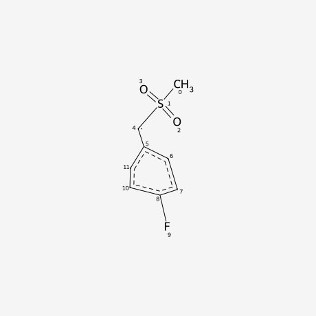 CS(=O)(=O)[CH]c1ccc(F)cc1